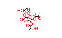 CC(O)C(=O)OC1OC2C(OC(O)C(C)O)C(=O)OC2C1OC(=O)C(C)O